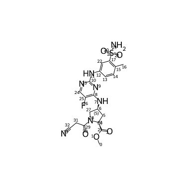 COC(=O)[C@@H]1C[C@H](Nc2nc(Nc3ccc(C)c(S(N)(=O)=O)c3)ncc2F)CN1C(=O)CC#N